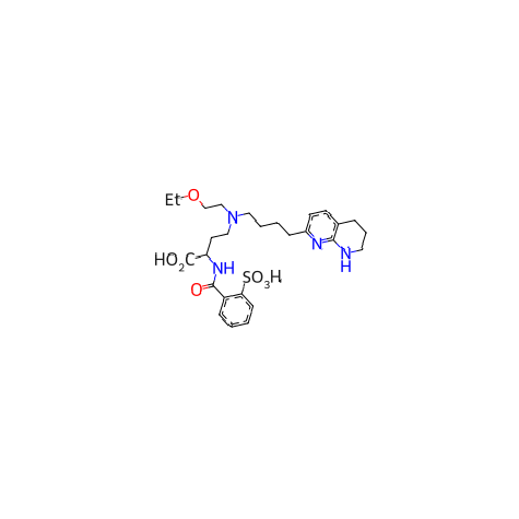 CCOCCN(CCCCc1ccc2c(n1)NCCC2)CCC(NC(=O)c1ccccc1S(=O)(=O)O)C(=O)O